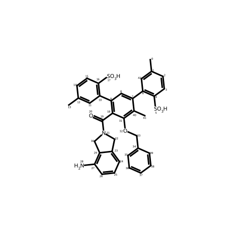 Cc1ccc(S(=O)(=O)O)c(-c2cc(-c3cc(C)ccc3S(=O)(=O)O)c(C(=O)N3Cc4cccc(N)c4C3)c(OCc3ccccc3)c2C)c1